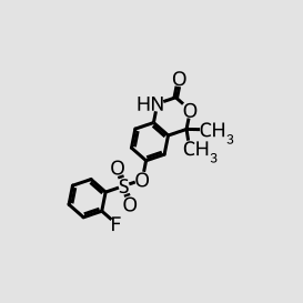 CC1(C)OC(=O)Nc2ccc(OS(=O)(=O)c3ccccc3F)cc21